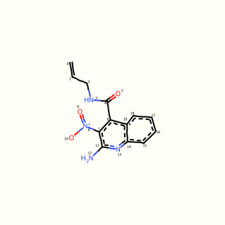 C=CCNC(=O)c1c([N+](=O)[O-])c(N)nc2ccccc12